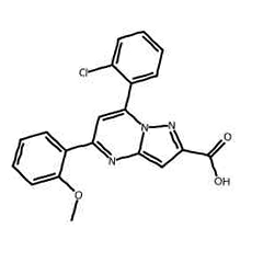 COc1ccccc1-c1cc(-c2ccccc2Cl)n2nc(C(=O)O)cc2n1